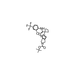 CC(C)(C)OC(=O)N1Cc2cn(C3(C(=O)Nc4ccc(C(F)(F)F)cc4Cl)CCC3)nc2C1